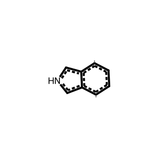 [c]1cc[c]c2c[nH]cc12